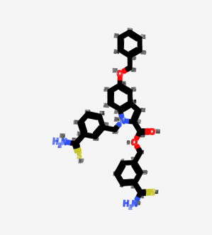 NC(=S)c1cccc(COC(=O)c2cc3cc(OCc4ccccc4)ccc3n2Cc2cccc(C(N)=S)c2)c1